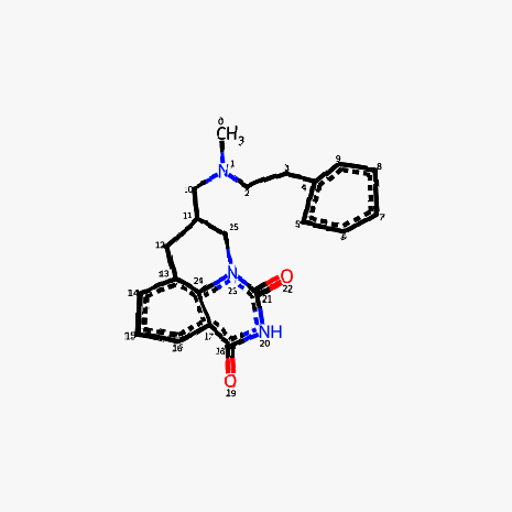 CN(CCc1ccccc1)CC1Cc2cccc3c(=O)[nH]c(=O)n(c23)C1